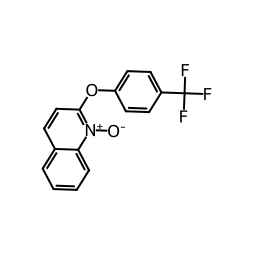 [O-][n+]1c(Oc2ccc(C(F)(F)F)cc2)ccc2ccccc21